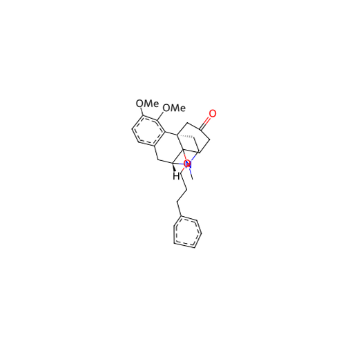 COc1ccc2c(c1OC)[C@]13CCN(C)[C@H](C2)C1(OCCCc1ccccc1)CCC(=O)C3